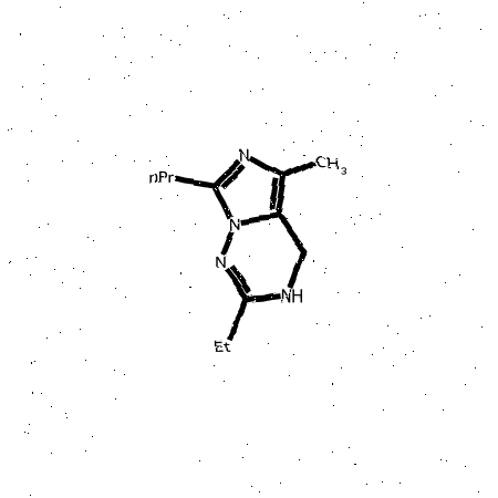 CCCc1nc(C)c2n1N=C(CC)NC2